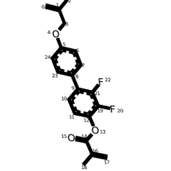 C=C(C)COc1ccc(-c2ccc(OC(=O)C(=C)C)c(F)c2F)cc1